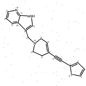 C(#Cc1cccs1)C1=CCN(Cc2c[nH]c3ncccc23)CC1